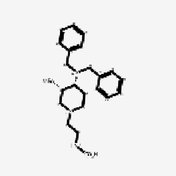 CO[C@H]1CN(CCNC(=O)O)CC[C@H]1N(Cc1ccccc1)Cc1ccccc1